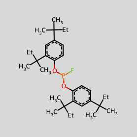 CCC(C)(C)c1ccc(OP(F)Oc2ccc(C(C)(C)CC)cc2C(C)(C)CC)c(C(C)(C)CC)c1